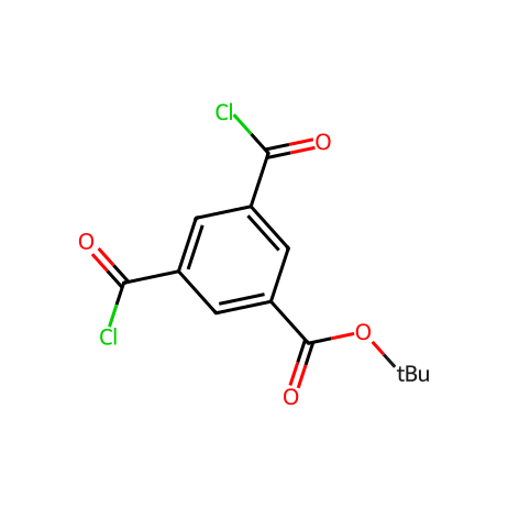 CC(C)(C)OC(=O)c1cc(C(=O)Cl)cc(C(=O)Cl)c1